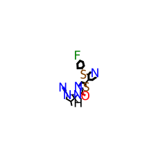 CC1CN(C#N)C2[C@@H]1N2C(=O)c1ncc(-c2ccncc2Sc2ccc(F)cc2)s1